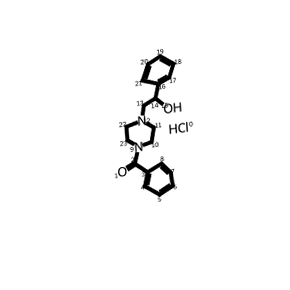 Cl.O=C(c1ccccc1)N1CCN(CC(O)c2ccccc2)CC1